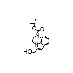 CC(C)(C)OC(=O)N1CCn2c(CO)cc3cccc1c32